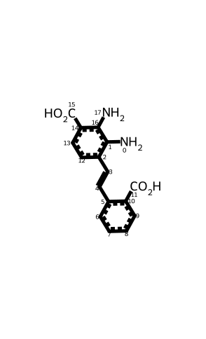 Nc1c(C=Cc2ccccc2C(=O)O)ccc(C(=O)O)c1N